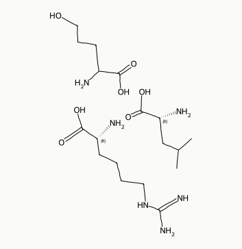 CC(C)C[C@@H](N)C(=O)O.N=C(N)NCCCC[C@@H](N)C(=O)O.NC(CCCO)C(=O)O